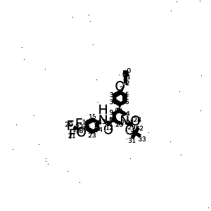 C#CCOc1ccc([C@H]2C[C@H](C(=O)Nc3ccc(OC(F)(F)F)cc3)CN(C(=O)OC(C)(C)C)C2)cc1